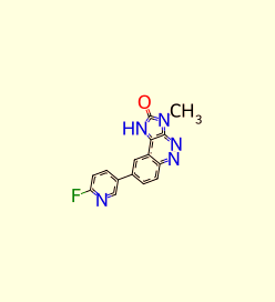 Cn1c(=O)[nH]c2c3cc(-c4ccc(F)nc4)ccc3nnc21